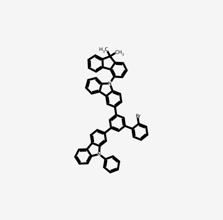 CC1(C)c2ccccc2-c2c(-n3c4ccccc4c4cc(-c5cc(-c6ccc7c8ccccc8n(-c8ccccc8)c7c6)cc(-c6ccccc6Br)c5)ccc43)cccc21